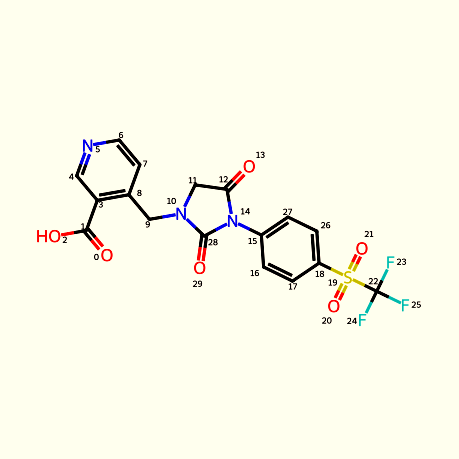 O=C(O)c1cnccc1CN1CC(=O)N(c2ccc(S(=O)(=O)C(F)(F)F)cc2)C1=O